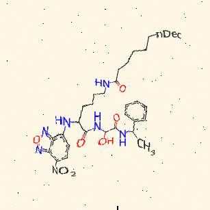 CCCCCCCCCCCCCCCC(=O)NCCCCC(Nc1ccc([N+](=O)[O-])c2nonc12)C(=O)NC(O)C(=O)NC(C)c1ccccc1